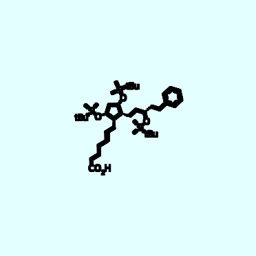 CC(C)(C)[Si](C)(C)O[C@@H](CCc1ccccc1)CC[C@@H]1[C@@H](CC=CCCCC(=O)O)[C@H](O[Si](C)(C)C(C)(C)C)C[C@H]1O[Si](C)(C)C(C)(C)C